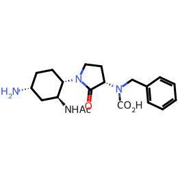 CC(=O)N[C@H]1C[C@H](N)CC[C@@H]1N1CC[C@H](N(Cc2ccccc2)C(=O)O)C1=O